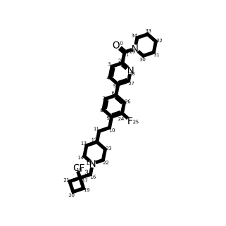 O=C(c1ccc(-c2ccc(CCC3CCN(CC4(C(F)(F)F)CCC4)CC3)c(F)c2)cn1)N1CCCCC1